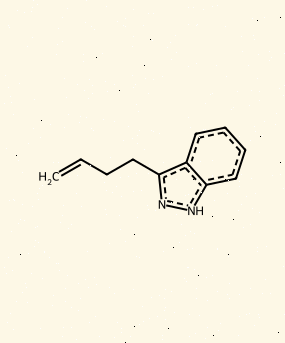 C=CCCc1n[nH]c2ccccc12